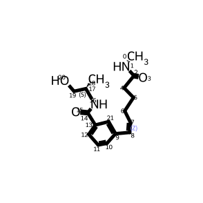 CNC(=O)CCC/C=C\c1cccc(C(=O)N[C@@H](C)CO)c1